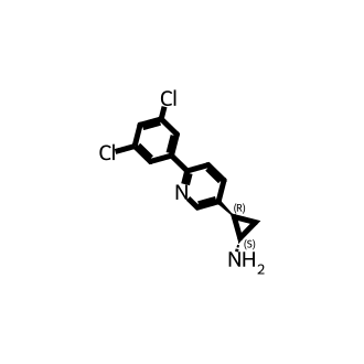 N[C@H]1C[C@@H]1c1ccc(-c2cc(Cl)cc(Cl)c2)nc1